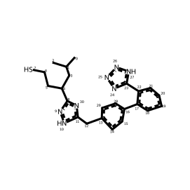 CC(C)CC(CCS)c1n[nH]c(Cc2ccc(-c3ccccc3-c3nnn[nH]3)cc2)n1